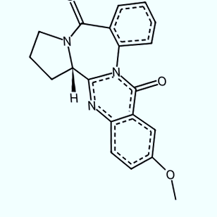 COc1ccc2nc3n(c(=O)c2c1)-c1ccccc1C(=O)N1CCC[C@@H]31